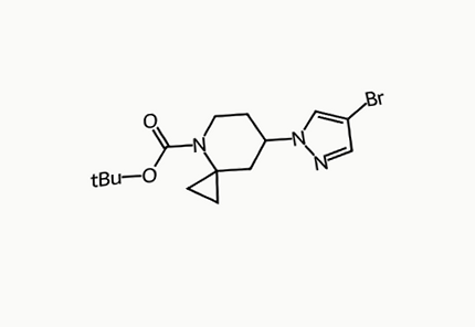 CC(C)(C)OC(=O)N1CCC(n2cc(Br)cn2)CC12CC2